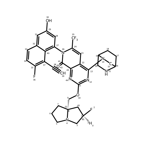 [2H][C@]1(F)CN2CCC[C@@]2(COc2nc(N3CC4CCC3CN4)c3cc(C(F)(F)F)n(-c4cc(O)cc5ccc(F)c(C#C)c45)c(=O)c3n2)C1